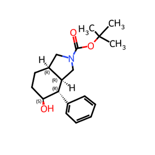 CC(C)(C)OC(=O)N1C[C@@H]2CC[C@H](O)[C@@H](c3ccccc3)[C@@H]2C1